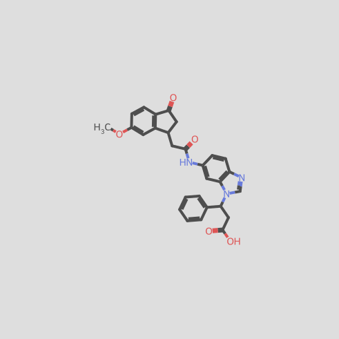 COc1ccc2c(c1)C(CC(=O)Nc1ccc3ncn(C(CC(=O)O)c4ccccc4)c3c1)CC2=O